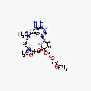 COCCOCCOC1=C2CC(C=C1)/N=C1\N=CNc3[nH]cc(c31)CN(C)CCCN(C)C(=O)CO2